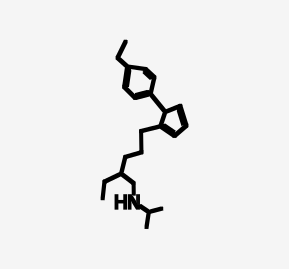 CCc1ccc(C2C=CC=C2CCCC(CC)CNC(C)C)cc1